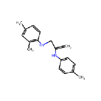 C=C(CNc1ccc(C)cc1C)Nc1ccc(C)cc1